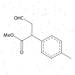 COC(=O)C(CC=O)c1ccc(C)cc1